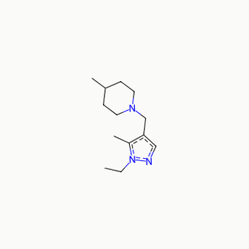 CCn1ncc(CN2CCC(C)CC2)c1C